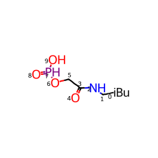 CCC(C)CNC(=O)CO[PH](=O)O